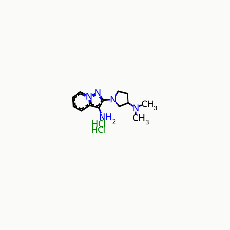 CN(C)C1CCN(c2nn3ccccc3c2N)C1.Cl.Cl